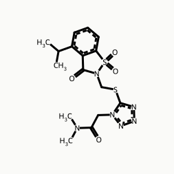 CC(C)c1cccc2c1C(=O)N(CSc1nnnn1CC(=O)N(C)C)S2(=O)=O